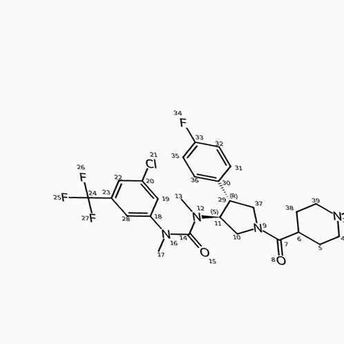 CC(=O)N1CCC(C(=O)N2C[C@@H](N(C)C(=O)N(C)c3cc(Cl)cc(C(F)(F)F)c3)[C@H](c3ccc(F)cc3)C2)CC1